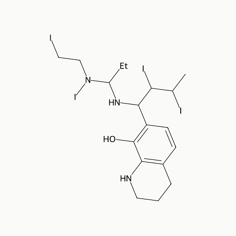 CCC(NC(c1ccc2c(c1O)NCCC2)C(I)C(C)I)N(I)CCI